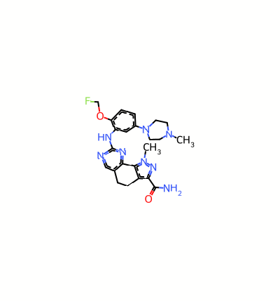 CN1CCN(c2ccc(OCF)c(Nc3ncc4c(n3)-c3c(c(C(N)=O)nn3C)CC4)c2)CC1